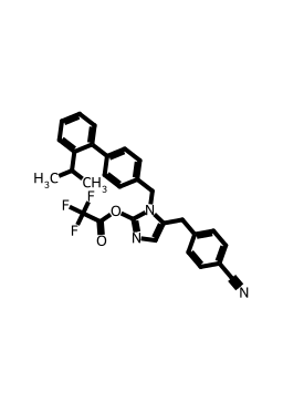 CC(C)c1ccccc1-c1ccc(Cn2c(Cc3ccc(C#N)cc3)cnc2OC(=O)C(F)(F)F)cc1